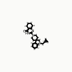 O=c1[nH]c(N2CCC3(CC2)CN(CC2CC2)c2ccccc23)nc2c1CCCC2